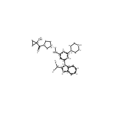 O=C(N1CC[C@H](CNc2cc(-n3c(C(F)F)nc4ccccc43)nc(N3CCOCC3)n2)C1)C1(O)CC1